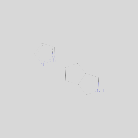 c1cnn(C2CC3CNCC3C2)c1